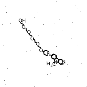 Cn1c2ccncc2c2ccc(N3CCC(OCCOCCOCCOCCOCCO)CC3)cc21